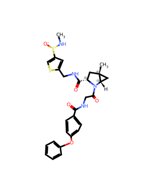 CN[S+]([O-])c1csc(CNC(=O)[C@@H]2C[C@]3(C)C[C@@H]3N2C(=O)CNC(=O)c2ccc(Oc3ccccc3)cc2)c1